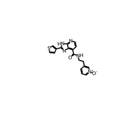 O=C(NCCc1ccc[n+]([O-])c1)c1ccnc2[nH]c(-c3ccsc3)nc12